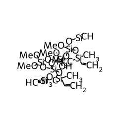 C#[Si]O[Si](OC)(O[Si](C)(C)C=C)O[Si@](O)(OC)O[Si](O[Si]#C)(O[Si](C)(C)C=C)O[Si](OC)(OC)OC